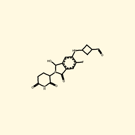 O=CC1CC(Nc2cc3c(cc2F)C(=O)N(C2CCC(=O)NC2=O)C3O)C1